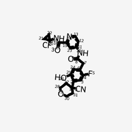 N#CC1(c2cc(F)c(CC(=O)Nc3ccnc(C(=O)NC4(C(F)(F)F)CC4)c3)cc2O)CCOCC1